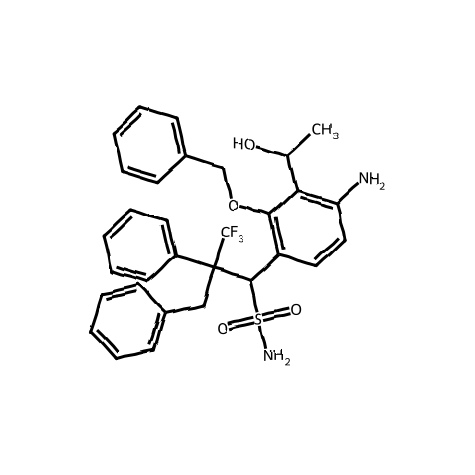 CC(O)c1c(N)ccc(C(C(Cc2ccccc2)(c2ccccc2)C(F)(F)F)S(N)(=O)=O)c1OCc1ccccc1